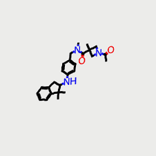 CC(=O)N1CC(C)(C(=O)N(C)Cc2ccc(NC3Cc4ccccc4C3(C)C)cc2)C1